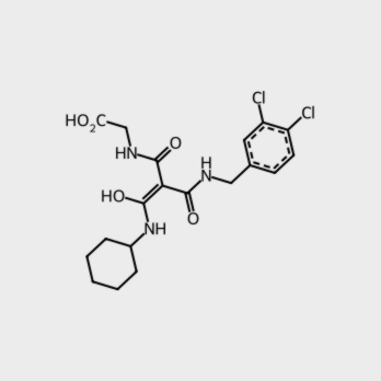 O=C(O)CNC(=O)/C(C(=O)NCc1ccc(Cl)c(Cl)c1)=C(\O)NC1CCCCC1